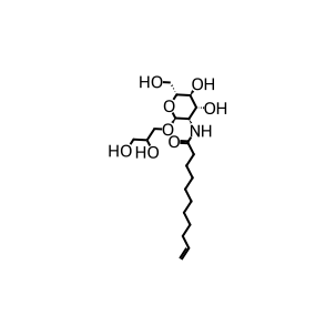 C=CCCCCCCCCC(=O)N[C@@H]1[C@@H](OCC(O)CO)O[C@H](CO)[C@@H](O)[C@@H]1O